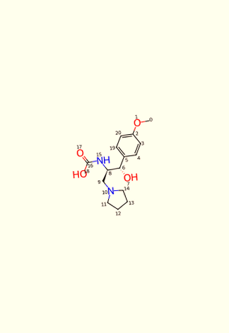 COc1ccc([C@H](O)[C@@H](CN2CCCC2)NC(=O)O)cc1